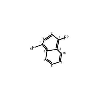 Fc1ccc(F)c2ccc[c]c12